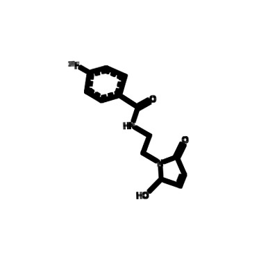 O=C(NCCN1C(=O)C=CC1O)c1ccc([18F])cc1